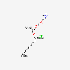 CCCCCCCCCCCCCCCCCCC(COCC(COCCOCC[N+](C)(C)C)OC)OC.[Cl-]